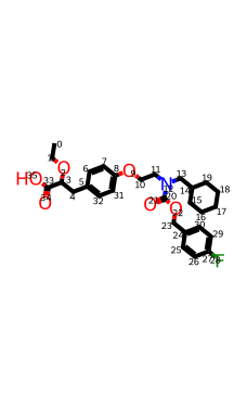 CCOC(Cc1ccc(OCCN(CC2CCCCC2)C(=O)OCc2ccc(F)cc2)cc1)C(=O)O